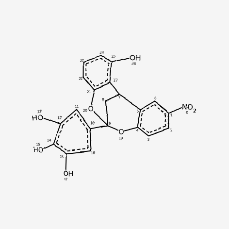 O=[N+]([O-])c1ccc2c(c1)C1CC(c3cc(O)c(O)c(O)c3)(O2)Oc2cccc(O)c21